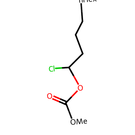 CCCCCCCCCC(Cl)OC(=O)OC